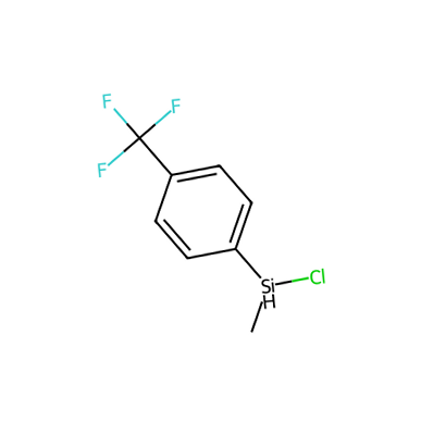 C[SiH](Cl)c1ccc(C(F)(F)F)cc1